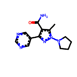 Cc1c(C(N)=O)c(-c2cncnc2)nn1N1CCCC1